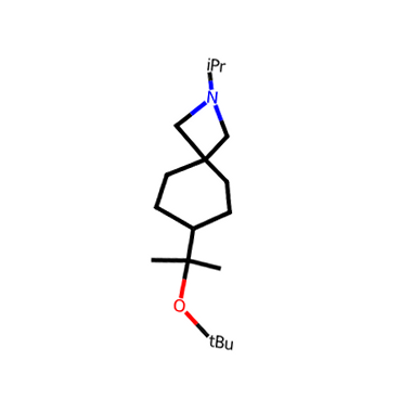 CC(C)N1CC2(CCC(C(C)(C)OC(C)(C)C)CC2)C1